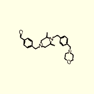 CC1CN(Cc2ccc(C=O)cc2)CC(C)N1Cc1ccc(CN2CCOCC2)cc1